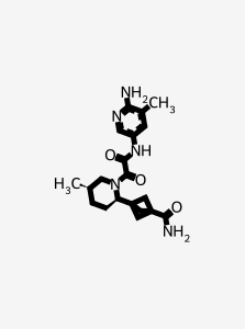 Cc1cc(NC(=O)C(=O)N2C[C@@H](C)CC[C@@H]2C23CC(C(N)=O)(C2)C3)cnc1N